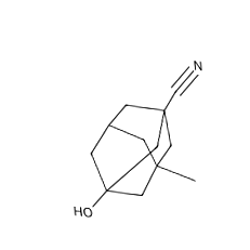 CC12CC3CC(O)(C1)CC(C#N)(C3)C2